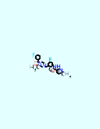 Cc1ccc(C(=O)Nc2cc(F)cc(CN3CCN(C(=O)c4cccc(F)c4)C(C)C3)c2C)cn1